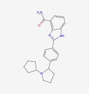 NC(=O)c1cccc2[nH]c(-c3ccc(C4CCCN4C4CCCC4)cc3)nc12